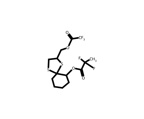 CC(F)(F)C(=O)OC1CCCCC12SCC(COC(=O)C(F)(F)F)S2